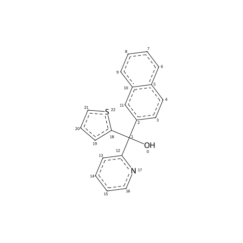 OC(c1ccc2ccccc2c1)(c1ccccn1)c1cccs1